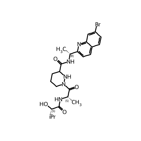 CC(C)[C@H](O)C(=O)N[C@@H](C)C(=O)N1CCCC(C(=O)N[C@H](C)c2ccc3ccc(Br)cc3n2)N1